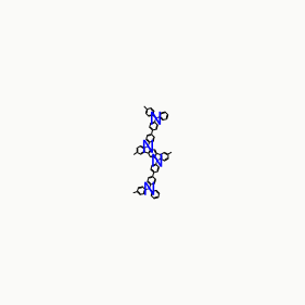 Cc1ccc(N(c2ccccc2)c2ccc(-c3ccc(-n4c5ccc(C)cc5c5cc6c(cc54)c4cc(C)ccc4n6-c4ccc(-c5ccc(N(c6ccccc6)c6ccc(C)cc6)cc5)cc4)cc3)cc2)cc1